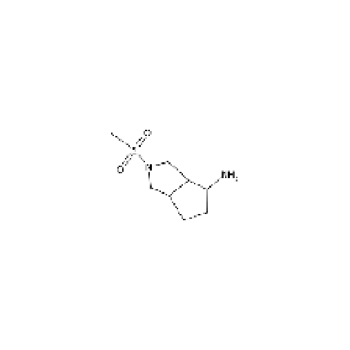 CS(=O)(=O)N1CC2CCC(N)C2C1